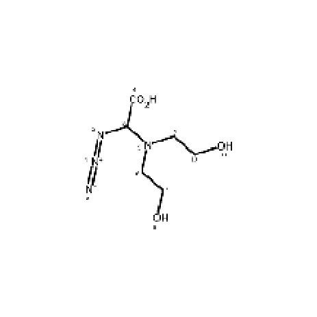 [N-]=[N+]=NC(C(=O)O)N(CCO)CCO